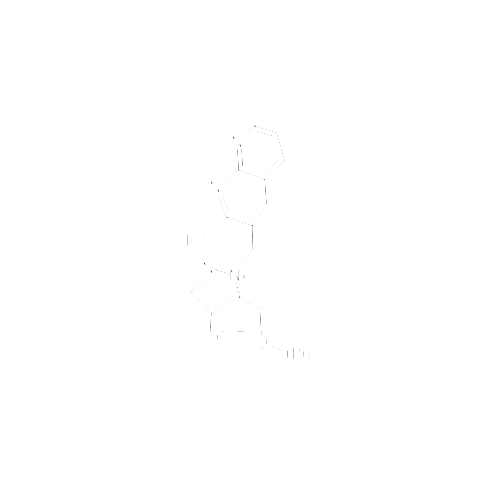 CCOC(=O)c1cnn(Cc2cc3cccnc3nc2C)c1COC(C)(C)C